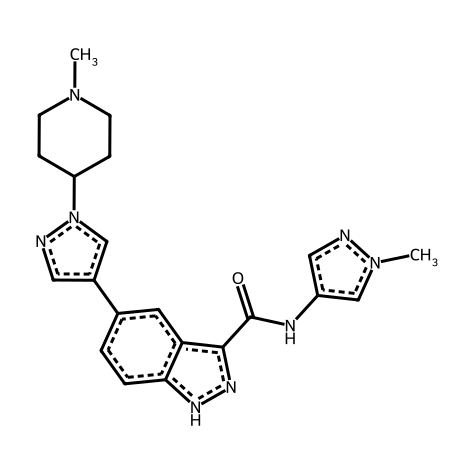 CN1CCC(n2cc(-c3ccc4[nH]nc(C(=O)Nc5cnn(C)c5)c4c3)cn2)CC1